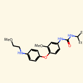 CCC(CC)NC(=O)Nc1ccc(Oc2ccc(NCCOC)cc2)c(OC)c1